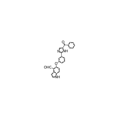 O=Cc1c(Oc2cccc(-c3ncc(C(=O)c4ccccc4)[nH]3)c2)ccc2[nH]ccc12